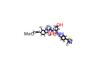 COCC#CC1C=CC2=C(CN([C@H](C(=O)N3C[C@H](O)C[C@H]3C(=O)NCc3ccc(-c4scnc4C)cc3)C(C)C)C2=O)C1C